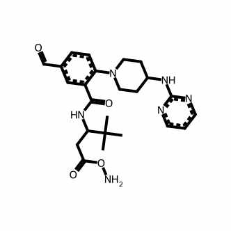 CC(C)(C)C(CC(=O)ON)NC(=O)c1cc(C=O)ccc1N1CCC(Nc2ncccn2)CC1